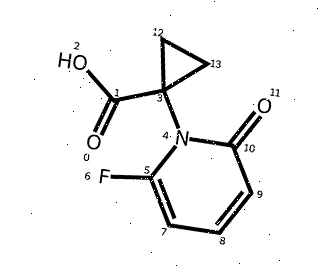 O=C(O)C1(n2c(F)cccc2=O)CC1